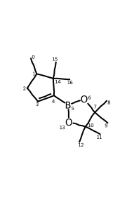 CC1CC=C(B2OC(C)(C)C(C)(C)O2)C1(C)C